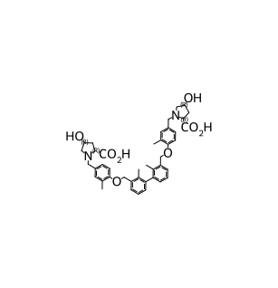 Cc1cc(CN2C[C@H](O)C[C@@H]2C(=O)O)ccc1OCc1cccc(-c2cccc(COc3ccc(CN4C[C@H](O)C[C@@H]4C(=O)O)cc3C)c2C)c1C